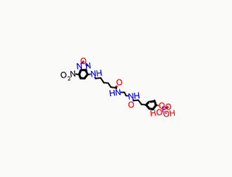 O=C(CCCCCNc1ccc([N+](=O)[O-])c2nonc12)NCCNC(=O)CCc1ccc(OP(=O)(O)O)cc1